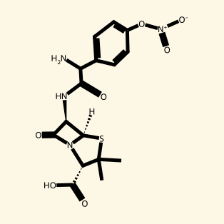 CC1(C)S[C@@H]2[C@H](NC(=O)C(N)c3ccc(O[N+](=O)[O-])cc3)C(=O)N2[C@H]1C(=O)O